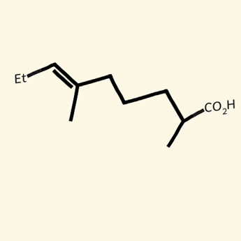 CC/C=C(\C)CCCC(C)C(=O)O